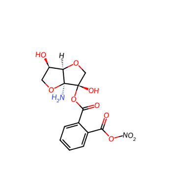 N[C@]12OC[C@@H](O)[C@H]1OC[C@]2(O)OC(=O)c1ccccc1C(=O)O[N+](=O)[O-]